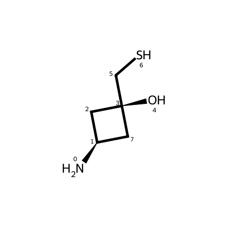 N[C@H]1C[C@](O)(CS)C1